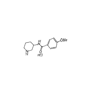 COc1ccc(C(=O)NC2CCCNC2)cc1.Cl